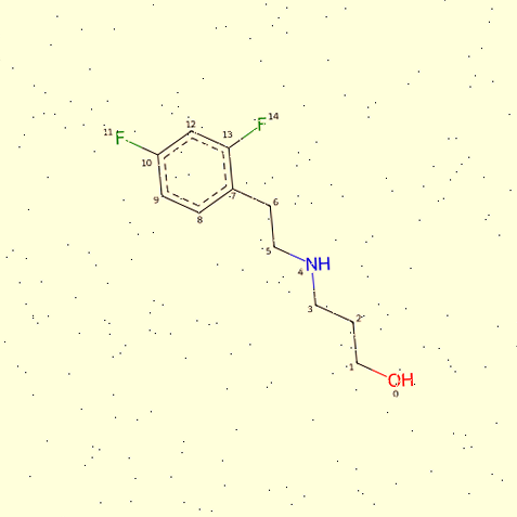 OCCCNCCc1ccc(F)cc1F